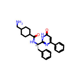 NCC1CCC(C(=O)N[C@@H](Cc2ccccc2)c2nc(-c3ccccc3)cc(=O)[nH]2)CC1